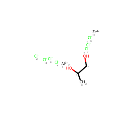 CC(O)CO.[Al+3].[Cl-].[Cl-].[Cl-].[Cl-].[Cl-].[Cl-].[Cl-].[Zr+4]